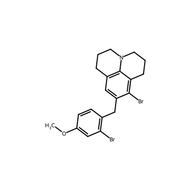 COc1ccc(Cc2cc3c4c(c2Br)CCCN4CCC3)c(Br)c1